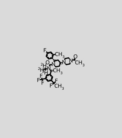 [2H]C([2H])([2H])N(C(=O)N1CC[C@H](N2CCN(C(C)=O)CC2)C[C@@H]1c1ccc(F)cc1C)[C@H](C)c1cc(C(C)(F)F)cc(C(F)(F)F)c1